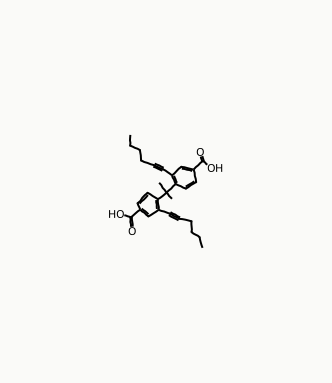 CCCCC#Cc1cc(C(=O)O)ccc1C(C)(C)c1ccc(C(=O)O)cc1C#CCCCC